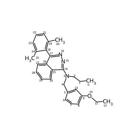 CCCN(Cc1cccc(OCC)c1)c1nnc(-c2c(C)cccc2C)c2ccccc12